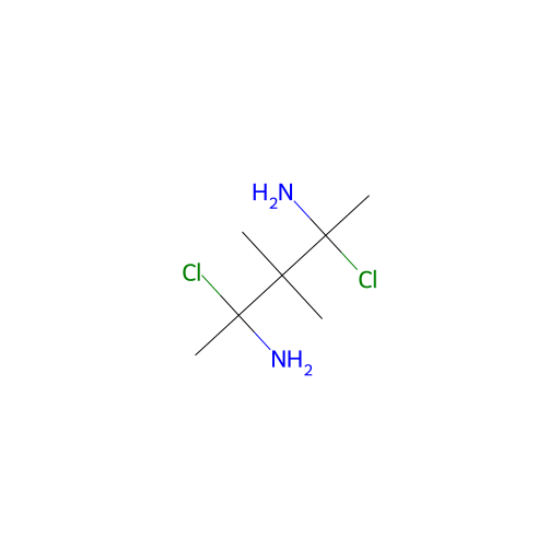 CC(N)(Cl)C(C)(C)C(C)(N)Cl